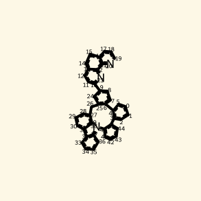 c1ccc2c(c1)-c1ccc(-c3ccc4ccc5cccnc5c4n3)cc1Cc1cccc3c4ccccc4n(c13)-c1ccccc1-2